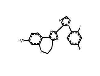 Nc1ccc2c(c1)OCCc1sc(-c3ncnn3-c3ccc(F)cc3F)nc1-2